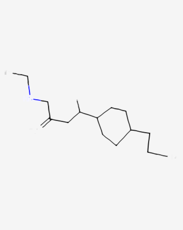 C=C(CNCC(C)C)CC(CC)C1CCC(CCC(C)(C)C)CC1